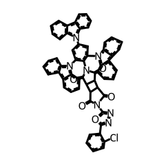 O=C1C2C(C(=O)N1c1nnc(-c3ccccc3Cl)o1)C1C(=O)N(c3c(-n4c5ccccc5c5ccccc54)cc(-n4c5ccccc5c5ccccc54)cc3-n3c4ccccc4c4ccccc43)C(=O)C21